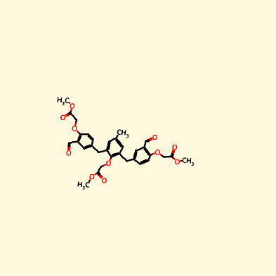 COC(=O)COc1ccc(Cc2cc(C)cc(Cc3ccc(OCC(=O)OC)c(C=O)c3)c2OCC(=O)OC)cc1C=O